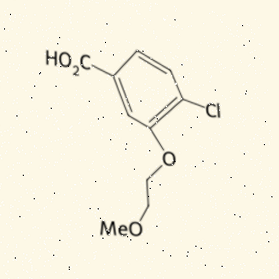 COCCOc1cc(C(=O)O)ccc1Cl